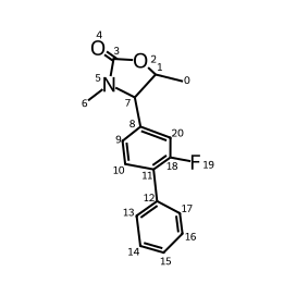 CC1OC(=O)N(C)C1c1ccc(-c2ccccc2)c(F)c1